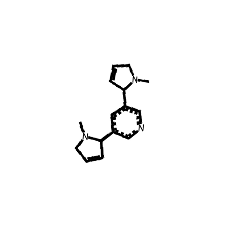 CN1CC=CC1c1cncc(C2C=CCN2C)c1